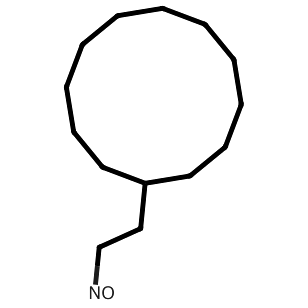 O=NCCC1CCCCCCCCCCC1